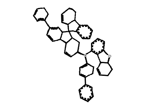 C1=CCCC(C2=CC3C(C=C2)C2C=CC(N(C4=CC=C(c5ccccc5)CC4)c4cccc5c4C4C=CCCC4O5)CC2C32c3ccccc3C3CCC=CC32)=C1